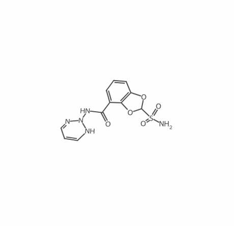 NS(=O)(=O)C1Oc2cccc(C(=O)NN3N=CC=CN3)c2O1